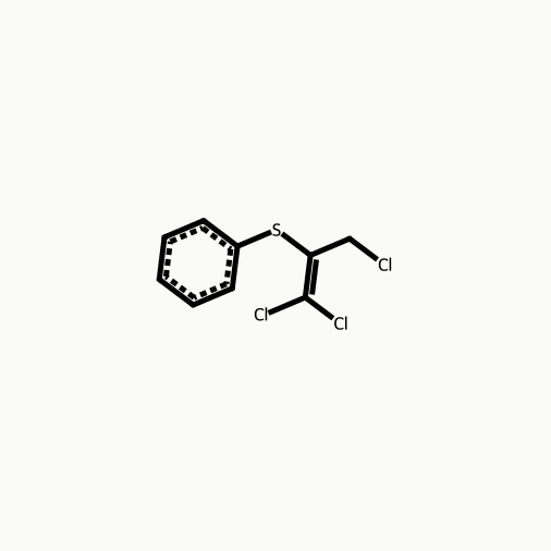 ClCC(Sc1ccccc1)=C(Cl)Cl